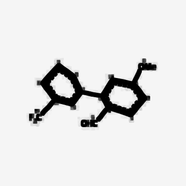 COc1ccc(C=O)c(-c2cccc(C(F)(F)F)c2)c1